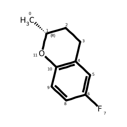 C[C@@H]1CCc2cc(F)ccc2O1